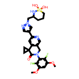 COc1cc(OC)c(F)c(N2Cc3cnc(-c4cnn(CC5CCCS(O)(O)N5)c4)cc3C3(CC3)C2=O)c1F